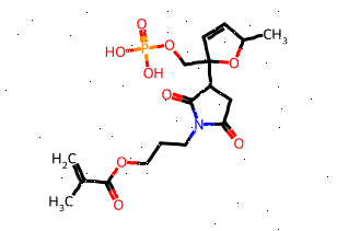 C=C(C)C(=O)OCCCN1C(=O)CC(C2(COP(=O)(O)O)C=CC(C)O2)C1=O